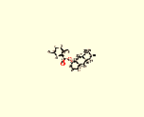 Cc1ccc(C)c(C(=O)Oc2cccc3cc4ccccc4cc23)c1